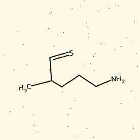 CC(C=S)CCCN